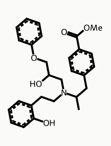 COC(=O)c1ccc(CC(C)N(CCc2ccccc2O)CC(O)COc2ccccc2)cc1